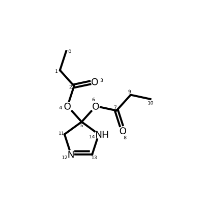 CCC(=O)OC1(OC(=O)CC)CN=CN1